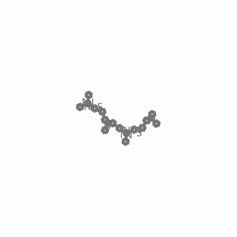 c1ccc(-c2nc(-c3ccccc3)nc(-c3ccc4c(c3)sc3ccc(-c5ccc6c(c5)c5ccc(-c7ccc(-c8nc(-c9ccccc9)nc(-c9ccc%10c(c9)sc9ccc(-c%11ccc%12c%13ccccc%13n(-c%13ccccc%13)c%12c%11)cc9%10)n8)cc7)cc5n6-c5ccccc5)cc34)n2)cc1